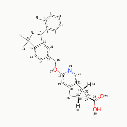 Cc1ccccc1C1CC(C)(C)c2ccc(COc3cc4c(cn3)[C@H]3[C@@H](C4)[C@@H]3C(=O)O)cc21